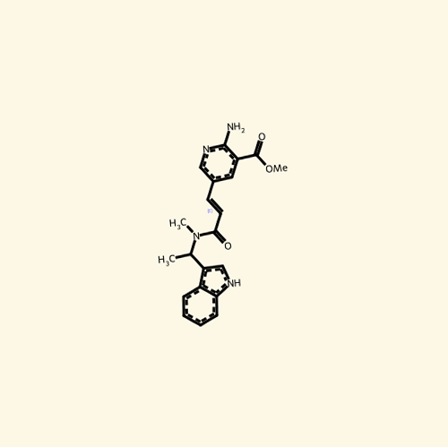 COC(=O)c1cc(/C=C/C(=O)N(C)C(C)c2c[nH]c3ccccc23)cnc1N